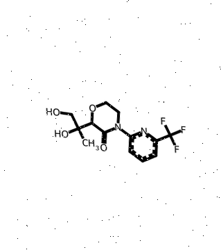 CC(O)(CO)C1OCCN(c2cccc(C(F)(F)F)n2)C1=O